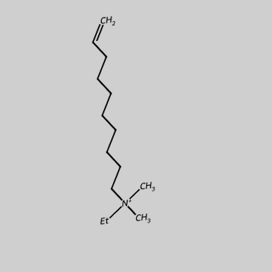 C=CCCCCCCCC[N+](C)(C)CC